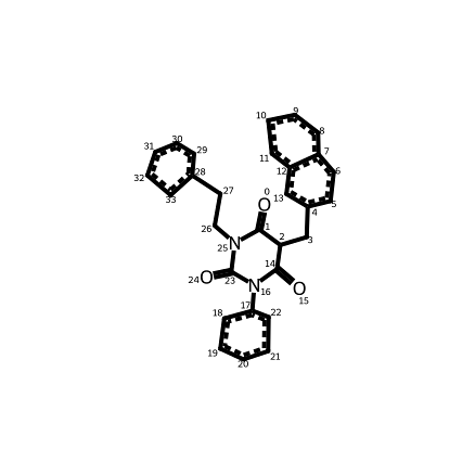 O=C1C(Cc2ccc3ccccc3c2)C(=O)N(c2ccccc2)C(=O)N1CCc1ccccc1